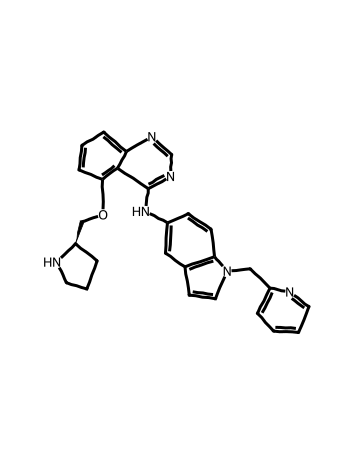 c1ccc(Cn2ccc3cc(Nc4ncnc5cccc(OC[C@H]6CCCN6)c45)ccc32)nc1